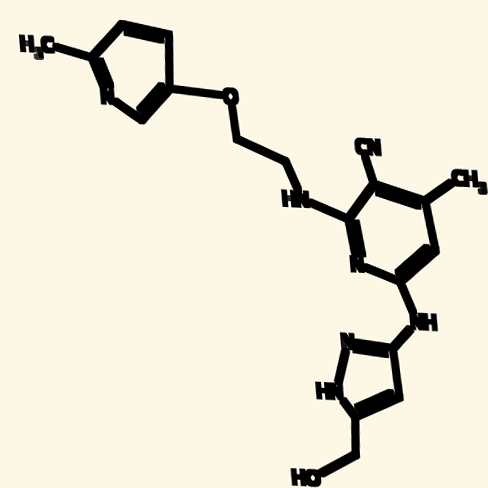 Cc1ccc(OCCNc2nc(Nc3cc(CO)[nH]n3)cc(C)c2C#N)cn1